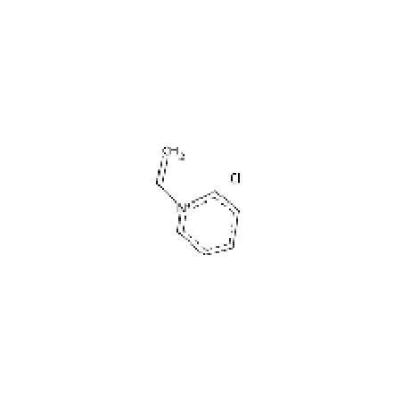 C=C[n+]1ccccc1.[Cl-]